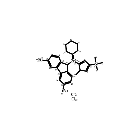 CC1C=C([Si](C)(C)C)C=[C]1[Zr+2](=[C]1CCCCC1)[CH]1c2ccc(C(C)(C)C)cc2-c2cc(C(C)(C)C)ccc21.[Cl-].[Cl-]